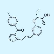 CCC(Oc1cccc(/C=C/Cn2cccc2C(=O)c2ccc(C)cc2)c1)C(=O)O